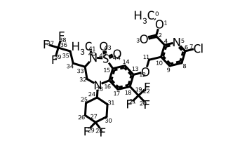 COC(=O)c1nc(Cl)ccc1COc1cc2c(cc1C(F)(F)F)N(C1CCC(F)(F)CC1)CC(CCC(F)(F)F)N(C)S2(=O)=O